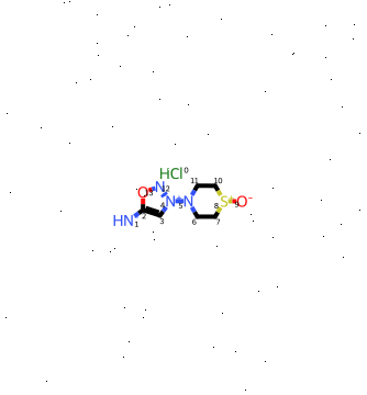 Cl.[NH-]c1c[n+](N2CC[S+]([O-])CC2)no1